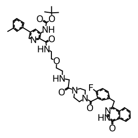 Cc1cccc(-c2cnc(C(=O)NCCOCCNCC(=O)N3CCN(C(=O)c4cc(Cc5n[nH]c(=O)c6ccccc56)ccc4F)CC3)c(NC(=O)OC(C)(C)C)c2)c1